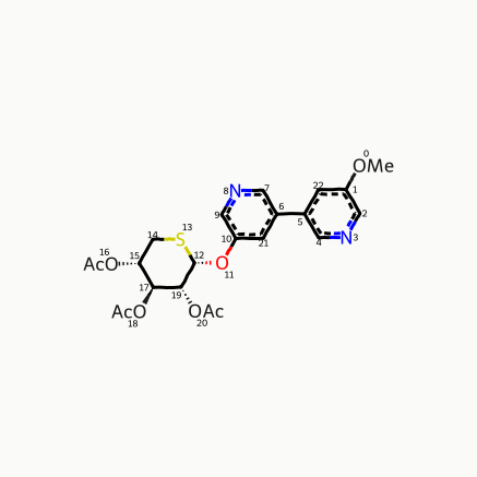 COc1cncc(-c2cncc(O[C@H]3SC[C@@H](OC(C)=O)[C@H](OC(C)=O)[C@H]3OC(C)=O)c2)c1